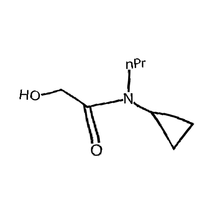 CCCN(C(=O)CO)C1CC1